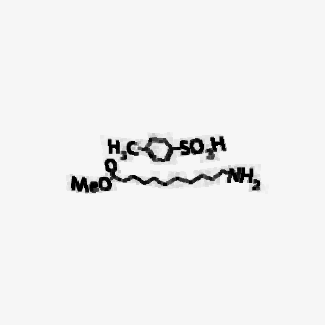 COC(=O)CCCCCCCCCCN.Cc1ccc(S(=O)(=O)O)cc1